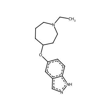 CCN1CCCC(Oc2ccc3[nH]ncc3c2)CC1